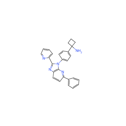 NC1(c2ccc(-n3c(-c4ccccn4)nc4ccc(-c5ccccc5)nc43)cc2)CCC1